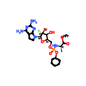 CCCOC(=O)[C@H](C)NP(=O)(OC[C@H]1O[C@@H](n2ccc3c(N)nc(N)nc32)[C@@](F)(Br)C1O)Oc1ccccc1